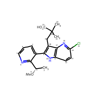 CO[C@@H](C)c1ncccc1-c1[nH]c2ccc(Cl)nc2c1CC(C)(C)C(=O)O